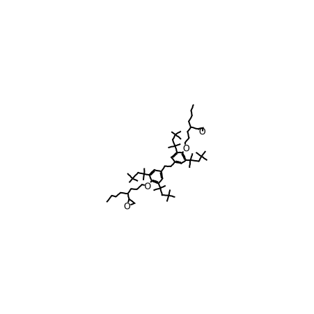 CCCCC(CCCOc1c(C(C)(C)CC(C)(C)C)cc(CCc2cc(C(C)(C)CC(C)(C)C)c(OCCCC(CCCC)C3CO3)c(C(C)(C)CC(C)(C)C)c2)cc1C(C)(C)CC(C)(C)C)C1CO1